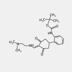 CN(C)CCNC=C1C(=O)CC(c2ccccc2NC(=O)OC(C)(C)C)CC1=O